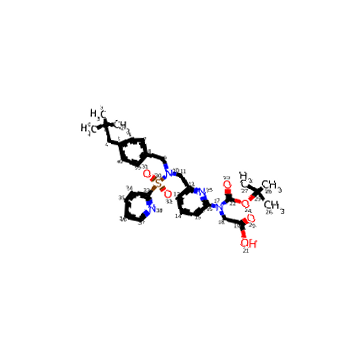 CC(C)(C)Cc1ccc(CN(Cc2cccc(N(CC(=O)O)C(=O)OC(C)(C)C)n2)S(=O)(=O)c2ccccn2)cc1